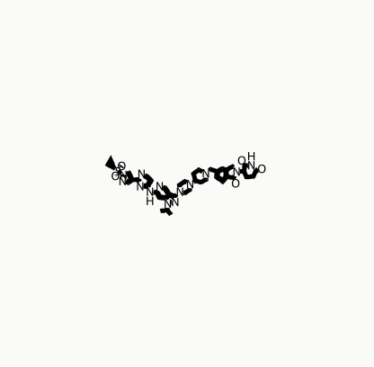 CC(C)n1nc(N2CCN(C3CCN(Cc4ccc5c(c4)CN(C4CCC(=O)NC4=O)C5=O)CC3)CC2)c2cnc(Nc3ccnc(-c4cnn(S(=O)(=O)C5CC5)c4)n3)cc21